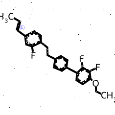 C/C=C/c1ccc(CCc2ccc(-c3ccc(OCC)c(F)c3F)cc2)c(F)c1